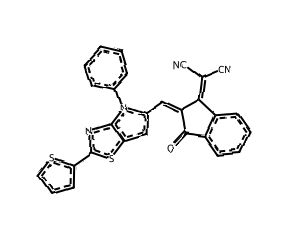 N#CC(C#N)=C1/C(=C/c2cc3sc(-c4cccs4)nc3n2-c2ccccc2)C(=O)c2ccccc21